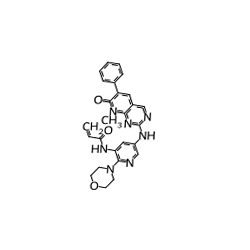 C=CC(=O)Nc1cc(Nc2ncc3cc(-c4ccccc4)c(=O)n(C)c3n2)cnc1N1CCOCC1